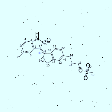 Cc1ccc2c(c1)/C(=C1\OCc3cc(CCCOS(C)(=O)=O)ccc31)C(=O)N2